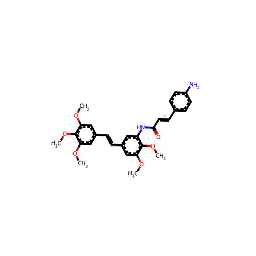 COc1cc(C=Cc2cc(OC)c(OC)c(OC)c2)cc(NC(=O)/C=C/c2ccc(N)cc2)c1OC